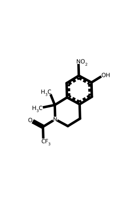 CC1(C)c2cc([N+](=O)[O-])c(O)cc2CCN1C(=O)C(F)(F)F